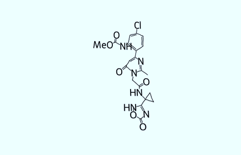 COC(=O)Nc1cc(Cl)ccc1-c1cc(=O)n(CC(=O)NC2(c3nc(=O)o[nH]3)CC2)c(C)n1